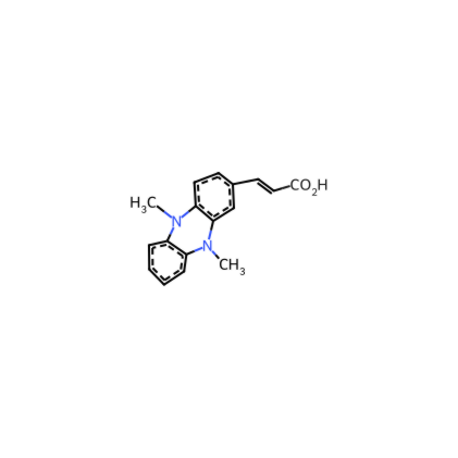 CN1c2ccccc2N(C)c2cc(C=CC(=O)O)ccc21